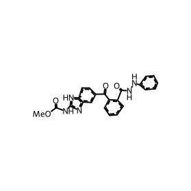 COC(=O)Nc1nc2cc(C(=O)c3ccccc3C(=O)NNc3ccccc3)ccc2[nH]1